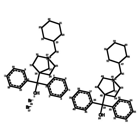 OC(c1ccccc1)(c1ccccc1)C12CC[N+](CC3CCCCC3)(CC1)C2.OC(c1ccccc1)(c1ccccc1)C12CC[N+](CC3CCCCC3)(CC1)C2.[Br-].[Br-]